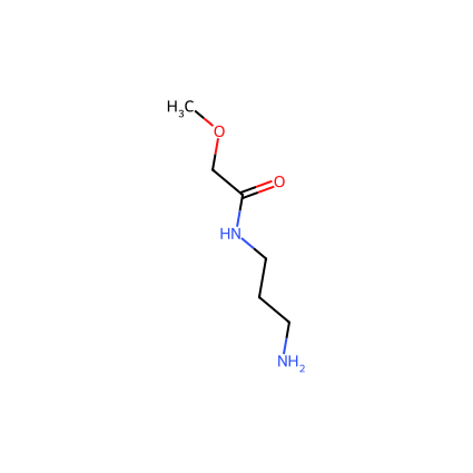 COCC(=O)NCCCN